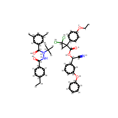 CCOc1ccc(C2(C(=O)OC(C#N)c3cccc(Oc4ccccc4)c3)CC2(Cl)Cl)cc1.CCc1ccc(C(=O)NN(C(=O)c2cc(C)cc(C)c2)C(C)(C)C)cc1